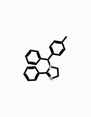 Cc1ccc(C(c2ccccc2)N2CCN=C2c2ccccc2)cc1